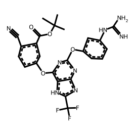 CC(C)(C)OC(=O)c1cc(Oc2nc(Oc3cccc(NC(=N)N)c3)nc3nc(C(F)(F)F)[nH]c23)ccc1C#N